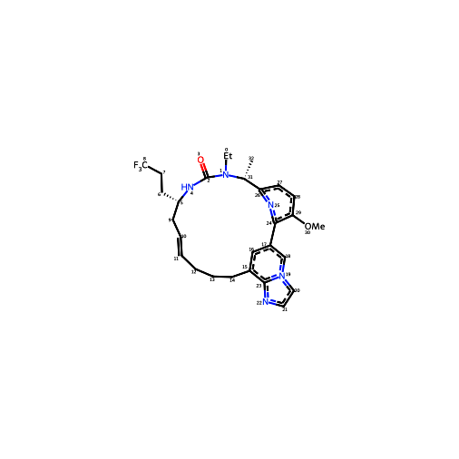 CCN1C(=O)N[C@@H](CCC(F)(F)F)C/C=C/CCCc2cc(cn3ccnc23)-c2nc(ccc2OC)[C@H]1C